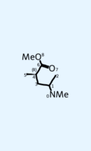 CNC(C)C[C@@H](C)C(=O)OC